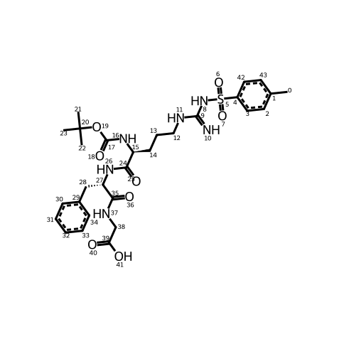 Cc1ccc(S(=O)(=O)NC(=N)NCCC[C@H](NC(=O)OC(C)(C)C)C(=O)N[C@@H](Cc2ccccc2)C(=O)NCC(=O)O)cc1